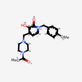 COC(=O)N1CCN(Cc2ccn(Cc3ccc(OC)cc3)c(=O)c2O)CC1